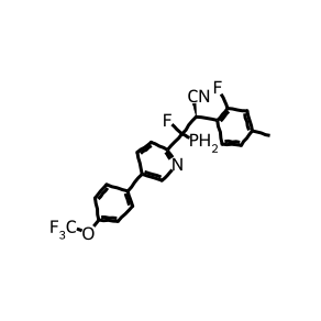 Cc1ccc([C@H](C#N)C(F)(P)c2ccc(-c3ccc(OC(F)(F)F)cc3)cn2)c(F)c1